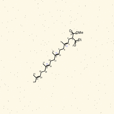 CCC(=O)C(C/C=C(\C)CC/C=C(\C)CC/C=C(\C)CCC=C(C)C)C(=O)OC